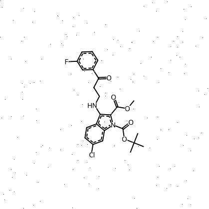 COC(=O)c1c(NCCC(=O)c2cccc(F)c2)c2ccc(Cl)cc2n1C(=O)OC(C)(C)C